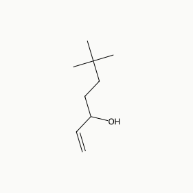 C=CC(O)CCC(C)(C)C